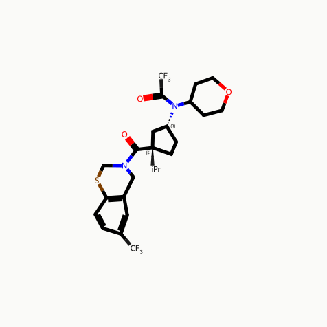 CC(C)[C@]1(C(=O)N2CSc3ccc(C(F)(F)F)cc3C2)CC[C@@H](N(C(=O)C(F)(F)F)C2CCOCC2)C1